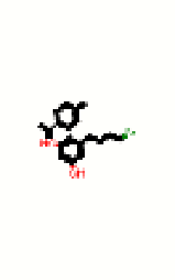 C=C(C)[C@H]1CCC(C)=C[C@@H]1c1c(O)cc(O)cc1CCCCBr